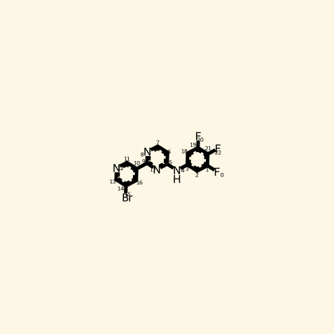 Fc1cc(Nc2ccnc(-c3cncc(Br)c3)n2)cc(F)c1F